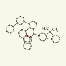 CC1(C)c2ccccc2-c2ccc(N(c3ccccc3)c3cccc(-c4cccc(-c5ccccc5)c4)c3-c3cccc4c3oc3ccccc34)cc21